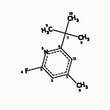 Cc1cc(F)nc(C(C)(C)C)c1